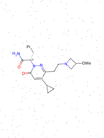 COC1CN(CCc2nn([C@@H](CC(C)C)C(N)=O)c(=O)cc2C2CC2)C1